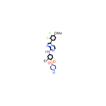 CCc1cc(Nc2nccn3c(-c4ccc(OC)c(F)c4F)cnc23)ccc1S(=O)(=O)N1CCNCC1